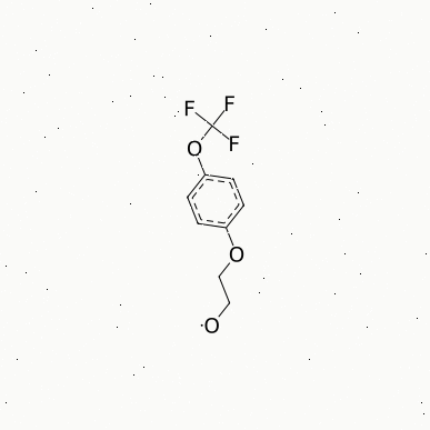 [O]CCOc1ccc(OC(F)(F)F)cc1